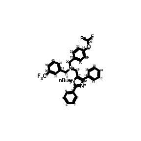 CCCCn1c(-c2ccccc2)nc(-c2ccccc2)c1CN(Cc1ccc(OC(F)F)cc1)Cc1cccc(C(F)(F)F)c1